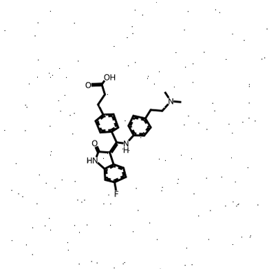 CN(C)CCc1ccc(NC(=C2C(=O)Nc3cc(F)ccc32)c2ccc(CCC(=O)O)cc2)cc1